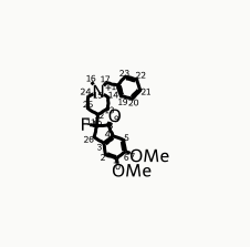 COc1cc2c(cc1OC)C(=O)C(F)(C1CC[N+](C)(Cc3ccccc3)CC1)C2